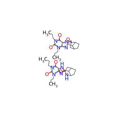 CCCn1c(=O)c2[nH]c(C3C4CCC3C(=O)C4)nc2n(CCC)c1=O.CCCn1c(=O)c2[nH]c(C3C4CCC3NC(=O)C4)nc2n(CCC)c1=O